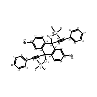 C[Si](C)(C)OC1(C#Cc2ccccc2)c2ccc(Br)cc2C(C#Cc2ccccc2)(O[Si](C)(C)C)c2ccc(Br)cc21